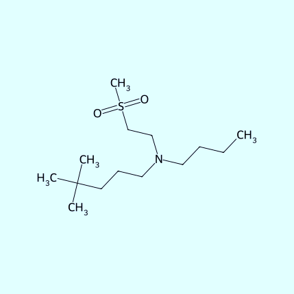 CCCCN(CCCC(C)(C)C)CCS(C)(=O)=O